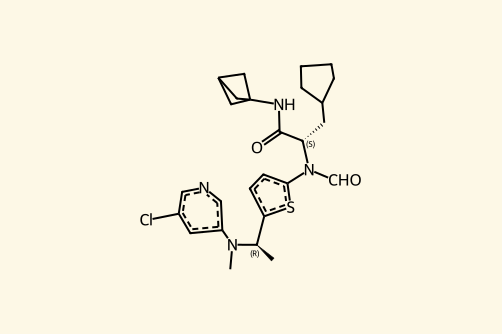 C[C@H](c1ccc(N(C=O)[C@@H](CC2CCCC2)C(=O)NC23CC(C2)C3)s1)N(C)c1cncc(Cl)c1